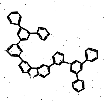 c1ccc(-c2cc(-c3ccccc3)cc(-c3cccc(-c4ccc5oc6ccc(-c7cccc(-c8cc(-c9ccccc9)cc(-c9ccccc9)c8)c7)cc6c5c4)c3)c2)cc1